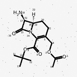 CC(=O)OCC1=C(C(=O)OC(C)(C)C)N2C(=O)[C@@H](N)[C@H]2CC1